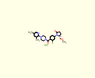 COC[C@H]1CCC(=O)N1c1ccc(C(=O)N2CCN(c3ncc(C)cc3C)CC2)c(F)c1.Cl